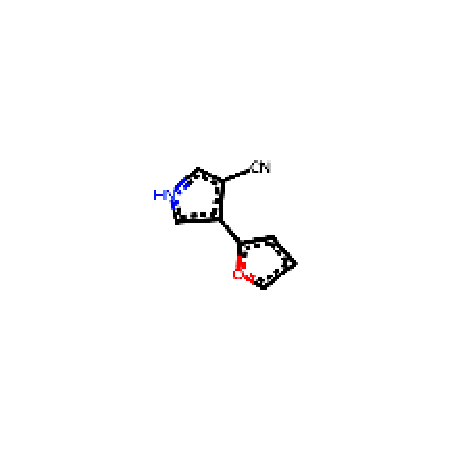 N#Cc1c[nH]cc1-c1ccco1